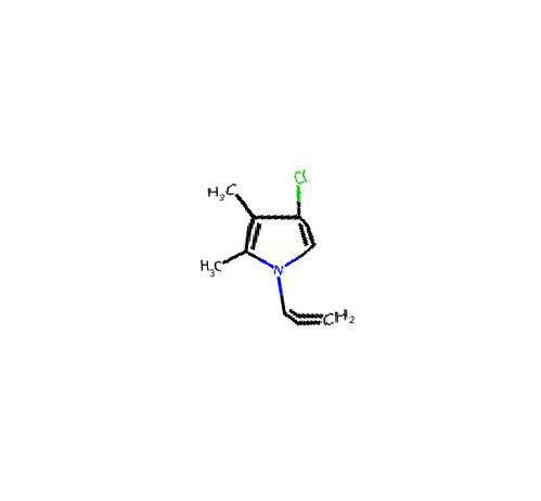 C=Cn1cc(Cl)c(C)c1C